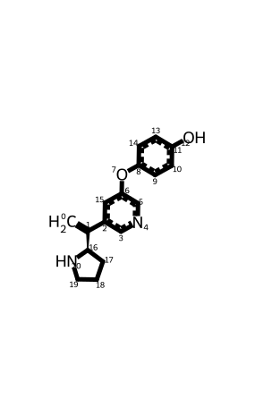 C=C(c1cncc(Oc2ccc(O)cc2)c1)[C@H]1CCCN1